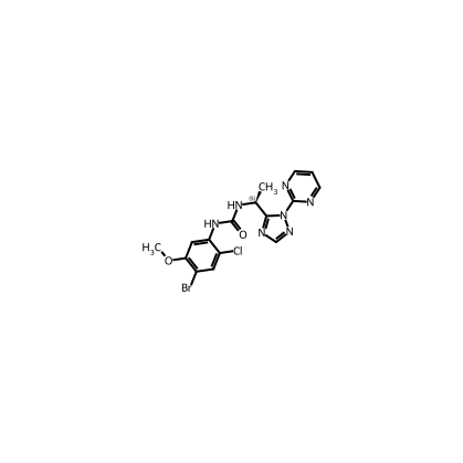 COc1cc(NC(=O)N[C@@H](C)c2ncnn2-c2ncccn2)c(Cl)cc1Br